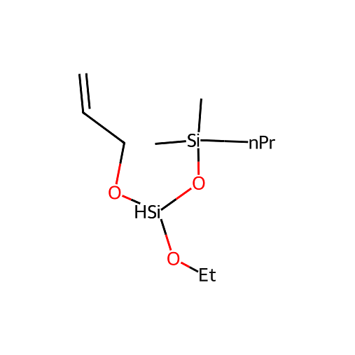 C=CCO[SiH](OCC)O[Si](C)(C)CCC